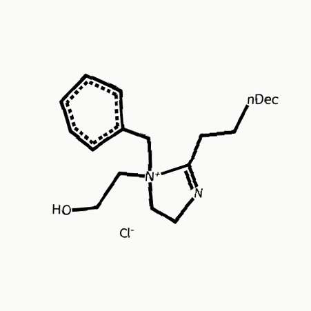 CCCCCCCCCCCCC1=NCC[N+]1(CCO)Cc1ccccc1.[Cl-]